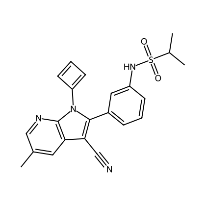 Cc1cnc2c(c1)c(C#N)c(-c1cccc(NS(=O)(=O)C(C)C)c1)n2C1=CC=C1